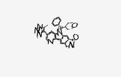 Cc1nnn(C)c1-c1cnc2c3cc4c(cc3n([C@H](c3ccccc3)C3CCOCC3)c2c1)C(=O)N(C)C4